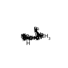 COc1nc2c(c(OCC3CC3(F)F)n1)CN(CC[C@H]1CC[C@H](NC(=O)c3cccc4ncccc34)CC1)CC2